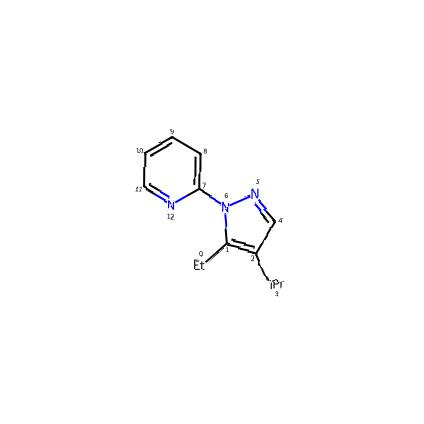 CCc1c(C(C)C)cnn1-c1ccccn1